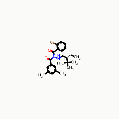 CC[C@@H](CNN(C(=O)c1cc(C)cc(C)c1)C(=O)c1ccccc1Br)C(C)(C)C